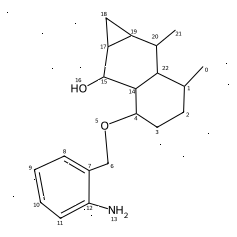 CC1CCC(OCc2ccccc2N)C2C(O)C3CC3C(C)C12